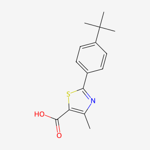 Cc1nc(-c2ccc(C(C)(C)C)cc2)sc1C(=O)O